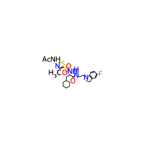 CC(=O)Nc1nc(C)c(S(=O)(=O)NC(CC2CCCCC2)C(=O)NCCN2CCc3cc(F)ccc32)s1